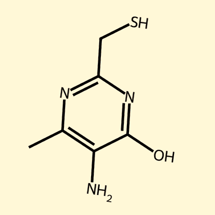 Cc1nc(CS)nc(O)c1N